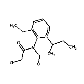 CCc1cccc(C(C)CC)c1N(CCl)C(=O)CCl